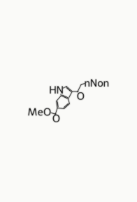 CCCCCCCCCCC(=O)c1c[nH]c2cc(C(=O)OC)ccc12